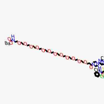 Cc1nc(Nc2ncc(C(=O)Nc3c(C)cccc3Cl)s2)cc(N2CCN(C(=O)CCOCCOCCOCCOCCOCCOCCOCCOCCOCCOCCOCCOCCNC(=O)OC(C)(C)C)CC2)n1